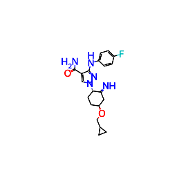 N=C1C[C@@H](OCC2CC2)CC[C@@H]1n1cc(C(N)=O)c(Nc2ccc(F)cc2)n1